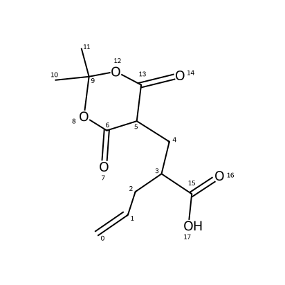 C=CCC(CC1C(=O)OC(C)(C)OC1=O)C(=O)O